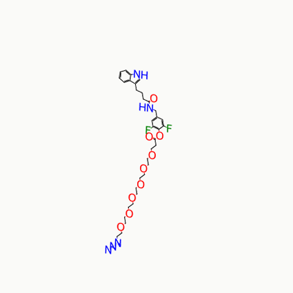 [N-]=[N+]=NCCOCCOCCOCCOCCOCCOCCC(=O)Oc1c(F)cc(CNC(=O)CCCc2c[nH]c3ccccc23)cc1F